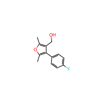 Cc1oc(C)c(-c2ccc(F)cc2)c1CO